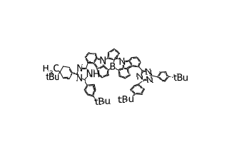 CC(C)(C)c1ccc(-c2nc(-c3ccc(C(C)(C)C)cc3)nc(-c3cccc4c3c3cccc5c3n4-c3cccc4c3B5c3cccc5c6c(C7=NC(C8=CCC(C)(C(C)(C)C)C=C8)=NC(c8ccc(C(C)(C)C)cc8)N7)cccc6n-4c35)n2)cc1